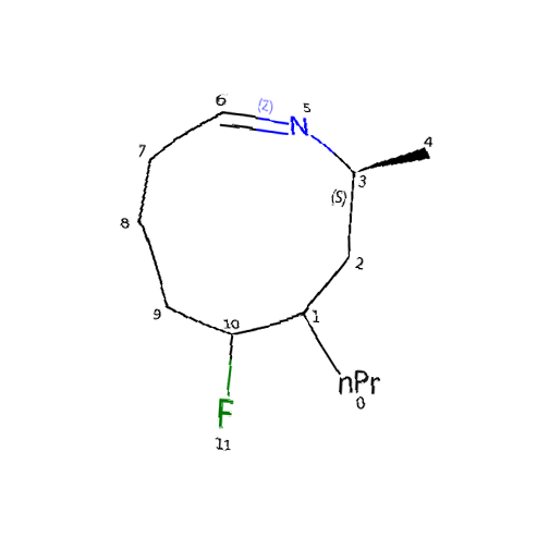 CCCC1C[C@H](C)/N=C\CCCC1F